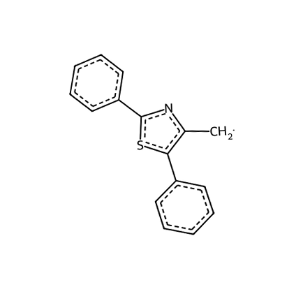 [CH2]c1nc(-c2ccccc2)sc1-c1ccccc1